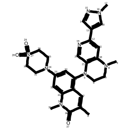 Cc1cc2c(N3CCN(C)c4cc(-c5cnn(C)c5)ncc43)cc(N3CCS(=O)(=O)CC3)cc2n(C)c1=O